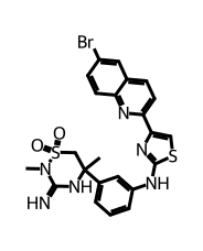 CN1C(=N)NC(C)(c2cccc(Nc3nc(-c4ccc5cc(Br)ccc5n4)cs3)c2)CS1(=O)=O